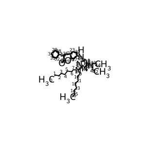 CCCCCCCCN(CCCCCCCC)c1nc(Nc2ccc3cc(-c4ccccc4)c(=O)oc3c2)nc(N(CC)CC)n1